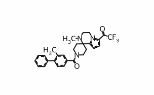 Cc1cc(C(=O)N2CCC3(CC2)c2ccc(C(=O)C(F)(F)F)n2CCN3C)ccc1-c1ccccc1